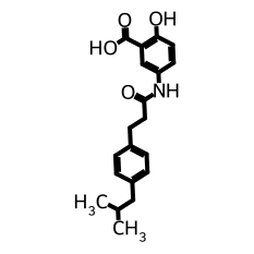 CC(C)Cc1ccc(CCC(=O)Nc2ccc(O)c(C(=O)O)c2)cc1